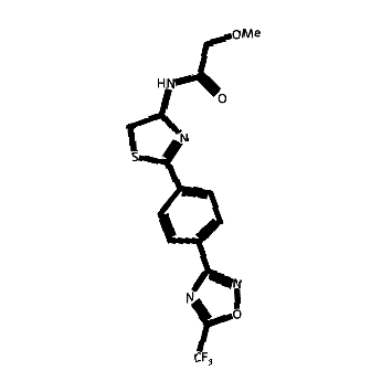 COCC(=O)NC1CSC(c2ccc(-c3noc(C(F)(F)F)n3)cc2)=N1